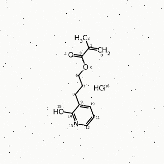 C=C(C)C(=O)OCCCc1cccnc1O.Cl